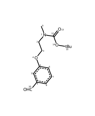 CN(CCOc1cccc(C=O)c1)C(=O)OC(C)(C)C